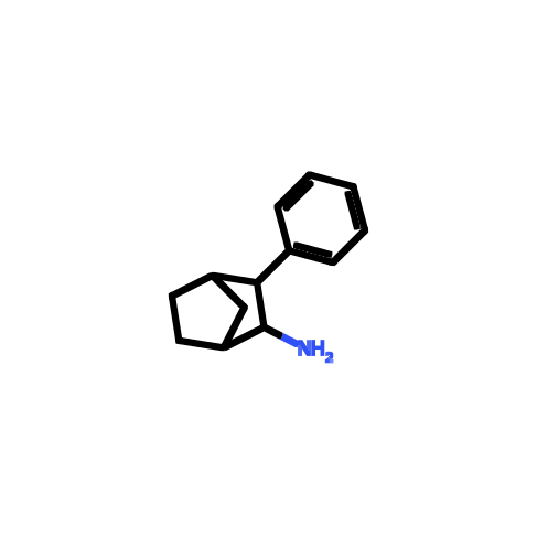 NC1C2CCC(C2)C1c1ccccc1